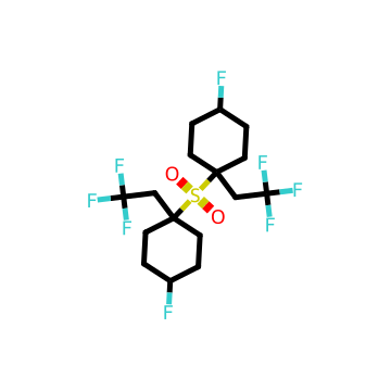 O=S(=O)(C1(CC(F)(F)F)CCC(F)CC1)C1(CC(F)(F)F)CCC(F)CC1